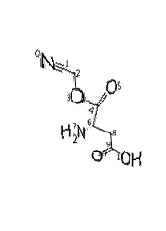 N#CCOC(=O)[C@@H](N)CC(=O)O